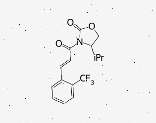 CC(C)C1COC(=O)N1C(=O)C=Cc1ccccc1C(F)(F)F